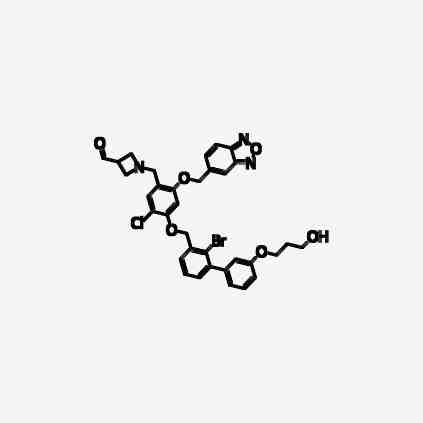 O=CC1CN(Cc2cc(Cl)c(OCc3cccc(-c4cccc(OCCCO)c4)c3Br)cc2OCc2ccc3nonc3c2)C1